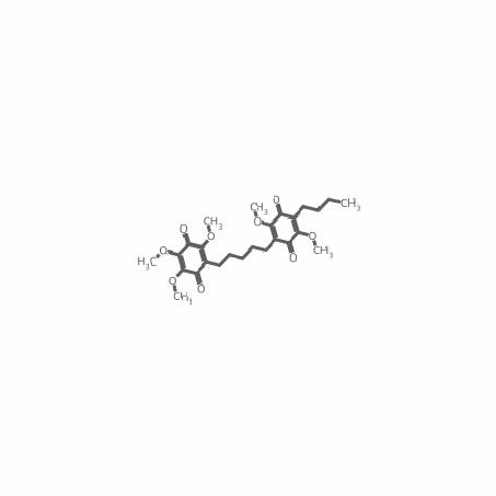 CCCCC1=C(OC)C(=O)C(CCCCCC2=C(OC)C(=O)C(OC)=C(OC)C2=O)=C(OC)C1=O